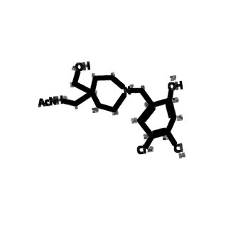 CC(=O)NCC1(CO)CCN(Cc2cc(Cl)c(Cl)cc2O)CC1